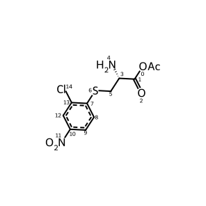 CC(=O)OC(=O)[C@@H](N)CSc1ccc([N+](=O)[O-])cc1Cl